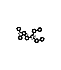 c1ccc(-c2cccc(-c3cc(-c4cccc5c4sc4ccc6c(-c7ccccc7)nc7ccccc7c6c45)nc(-c4cccc(-c5ccccc5)c4)n3)c2)cc1